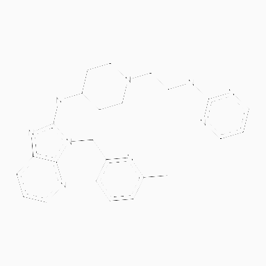 Cc1cccc(Cn2c(NC3CCN(CCNc4ncccn4)CC3)nc3cccnc32)n1